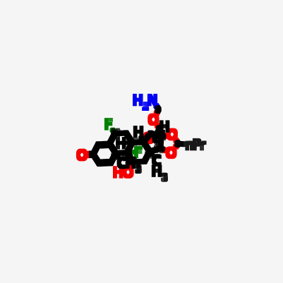 CCCC1O[C@@H]2C[C@H]3[C@@H]4C[C@H](F)C5=CC(=O)C=C[C@]5(C)[C@@]4(F)[C@@H](O)C[C@]3(C)[C@]2(C(=O)COCN)O1